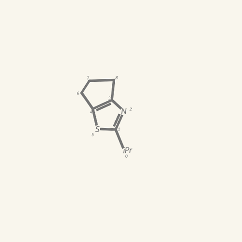 CC(C)c1nc2c(s1)CCC2